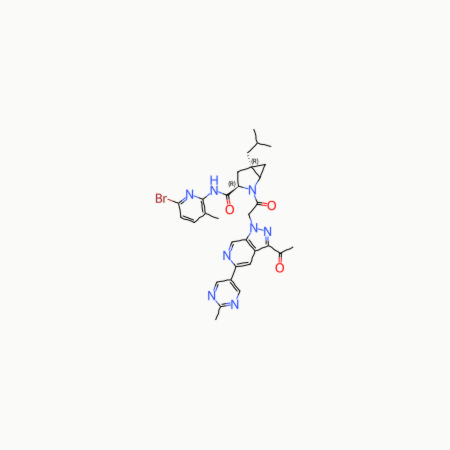 CC(=O)c1nn(CC(=O)N2C3C[C@]3(CC(C)C)C[C@@H]2C(=O)Nc2nc(Br)ccc2C)c2cnc(-c3cnc(C)nc3)cc12